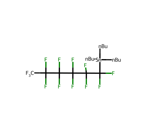 CCC[CH2][Sn]([CH2]CCC)([CH2]CCC)[C](F)(F)C(F)(F)C(F)(F)C(F)(F)C(F)(F)C(F)(F)F